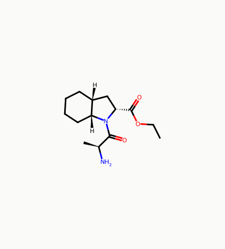 CCOC(=O)[C@H]1C[C@H]2CCCC[C@H]2N1C(=O)[C@H](C)N